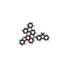 CC1(C)c2ccccc2-c2ccc(N(c3ccccc3)c3cccc(-c4ccccc4-c4ccccc4)c3-c3ccc4c(c3)oc3ccccc34)cc21